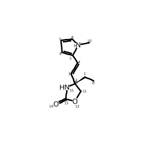 CC[C@@]1(C=Cc2cccn2C)COC(=O)N1